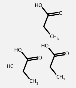 CCC(=O)O.CCC(=O)O.CCC(=O)O.Cl